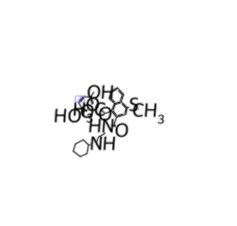 COc1c(C(=O)NCCNC2CCCCC2)cc(SC)c2ccccc12.O=C(O)/C=C\C(=O)O